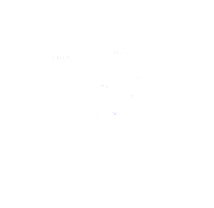 CCOC(=O)/C=C/c1ccc(/C(=C(/CC)c2ccc(Cl)c(C)c2)c2cc3ccccc3[nH]2)cc1